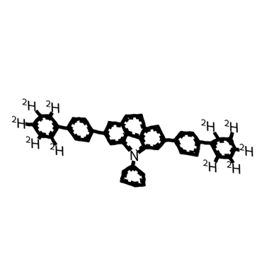 [2H]c1c([2H])c([2H])c(-c2ccc(-c3cc4ccc5cc(-c6ccc(-c7c([2H])c([2H])c([2H])c([2H])c7[2H])cc6)cc6c5c4c(c3)n6-c3ccccc3)cc2)c([2H])c1[2H]